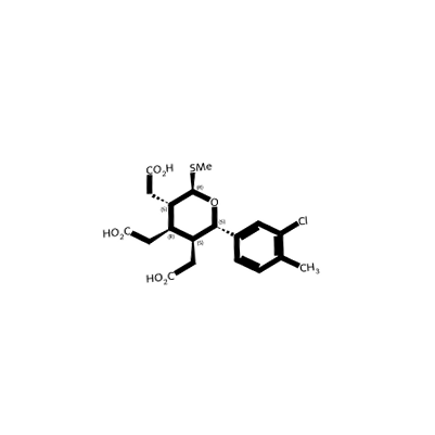 CS[C@H]1O[C@H](c2ccc(C)c(Cl)c2)[C@@H](CC(=O)O)[C@@H](CC(=O)O)[C@@H]1CC(=O)O